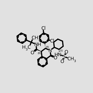 CC(C)(NC(=O)[C@@H]1c2ccccc2C(=O)N(C2CCCC[C@@H]2NS(C)(=O)=O)[C@H]1c1ccc(Cl)cc1Cl)c1ccccc1